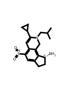 CC(C)CN1Cc2c(c([SH](=O)=O)cc3c2[C@H](N)CC3)C=C1C1CC1